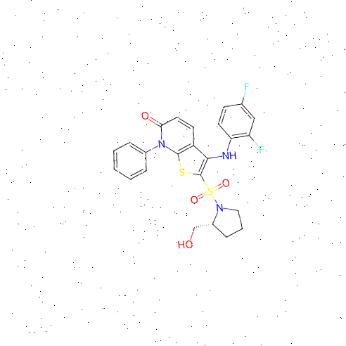 O=c1ccc2c(Nc3ccc(F)cc3F)c(S(=O)(=O)N3CCC[C@@H]3CO)sc2n1-c1ccccc1